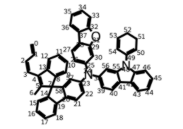 C=C/C=C\C1=C(C)C2(c3ccccc31)c1ccccc1-c1ccc(N(c3ccc4c(c3)oc3ccccc34)c3ccc4c5ccccc5n(C5=CCCC=C5)c4c3)cc12